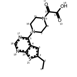 CCc1cc2c(N3CCN(C(=O)C(=O)O)CC3)ncnc2s1